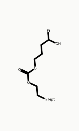 CCCCCCCCCOC(=O)OCCCC(O)CC